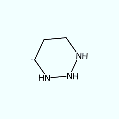 [CH]1CCNNN1